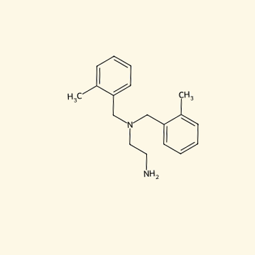 Cc1ccccc1CN(CCN)Cc1ccccc1C